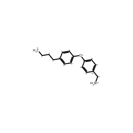 CCCCc1ccc(Oc2ccc(CN)cc2)cc1